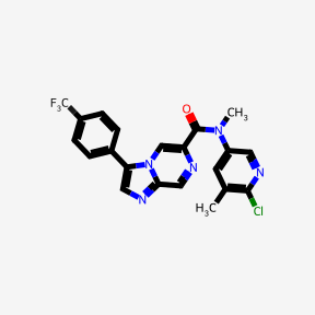 Cc1cc(N(C)C(=O)c2cn3c(-c4ccc(C(F)(F)F)cc4)cnc3cn2)cnc1Cl